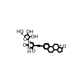 C[C@]12CCC3c4ccc(C#Cc5cn([C@@H]6O[C@H](CO)C(O)[C@H]6O)c(=O)[nH]c5=O)cc4CCC3C1CCC2=O